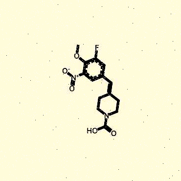 COc1c(F)cc(C=C2CCN(C(=O)O)CC2)cc1[N+](=O)[O-]